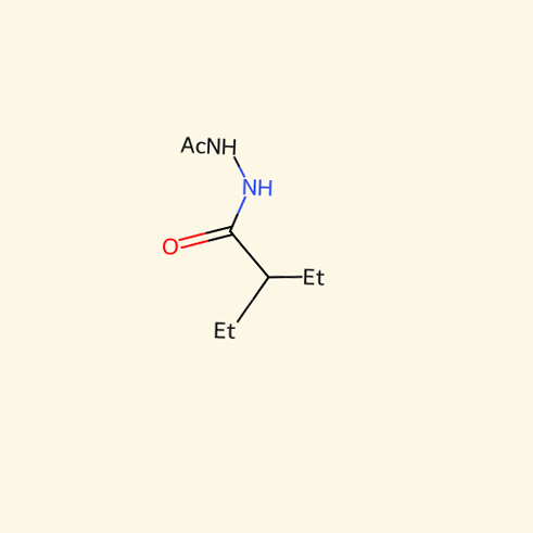 CCC(CC)C(=O)NNC(C)=O